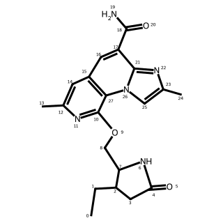 CCC1CC(=O)NC1COc1nc(C)cc2cc(C(N)=O)c3nc(C)cn3c12